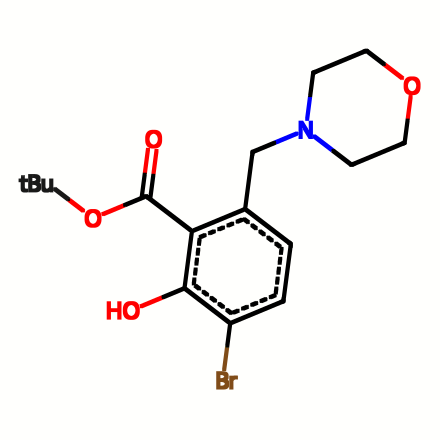 CC(C)(C)OC(=O)c1c(CN2CCOCC2)ccc(Br)c1O